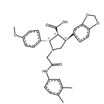 COc1ccc([C@@H]2[C@@H](C(=O)O)[C@@H](c3ccc4c(c3)OCO4)CN2CC(=O)Nc2ccc(C)c(C)c2)cc1